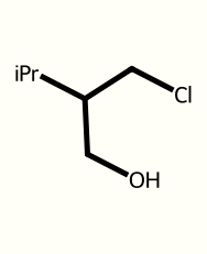 CC(C)C(CO)CCl